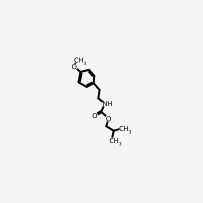 COc1ccc(CCNC(=O)OCC(C)C)cc1